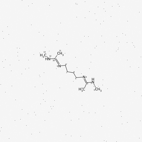 CN/C(C)=N/CCCC/N=C(\C)NC